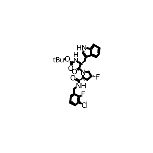 CC(C)(C)OC(=O)N[C@@H](Cc1c[nH]c2ccccc12)C(=O)N1C[C@H](F)C[C@H]1C(=O)NCc1cccc(Cl)c1F